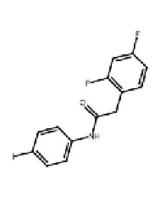 O=C(Cc1ccc(F)cc1F)Nc1ccc(I)cc1